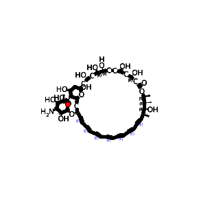 C[C@@H]1[C@H](O)[C@@H](C)/C=C/C=C/C=C/C=C/C=C/C=C/C=C/[C@H](O[C@@H]2O[C@H](C)[C@@H](O)[C@H](N)[C@H]2O)CC2O[C@](O)(CC(O)C[C@@H](O)[C@H](O)CCC(O)C[C@@H](O)CC(=O)O[C@H]1C)C[C@H](O)[C@H]2C(=O)O